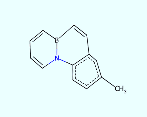 Cc1ccc2c(c1)C=CB1C=CC=CN12